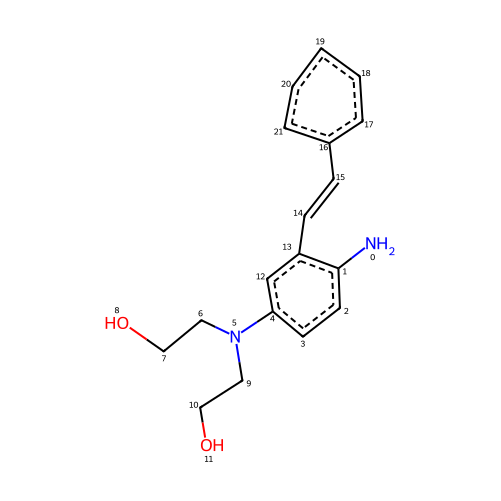 Nc1ccc(N(CCO)CCO)cc1C=Cc1ccccc1